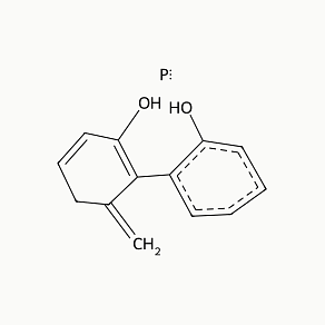 C=C1CC=CC(O)=C1c1ccccc1O.[P]